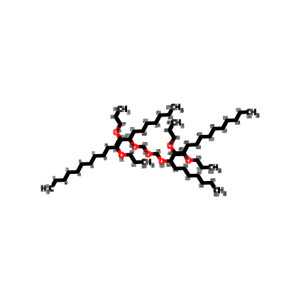 CCCCCCCCCCC(OCCC)=C(OCCC)C(CCCCCCC)OCOCOC(CCCCCCC)C(OCCC)=C(CCCCCCCCCC)OCCC